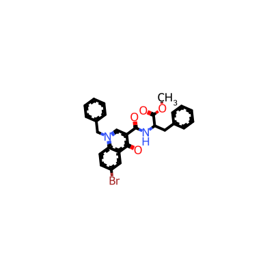 COC(=O)C(Cc1ccccc1)NC(=O)c1cn(Cc2ccccc2)c2ccc(Br)cc2c1=O